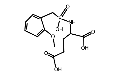 COc1ccccc1CP(=O)(O)NC(CCC(=O)O)C(=O)O